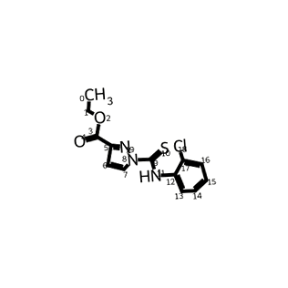 CCOC(=O)c1ccn(C(=S)Nc2ccccc2Cl)n1